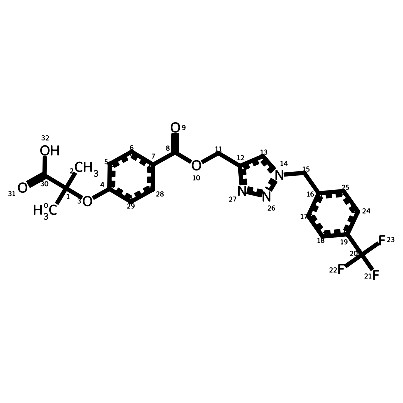 CC(C)(Oc1ccc(C(=O)OCc2cn(Cc3ccc(C(F)(F)F)cc3)nn2)cc1)C(=O)O